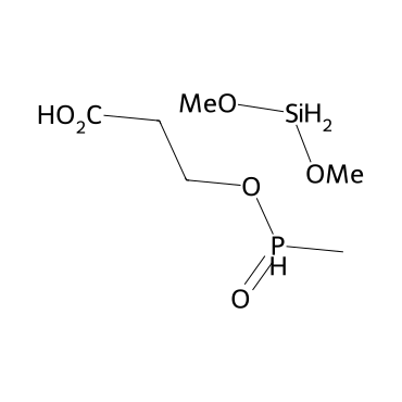 CO[SiH2]OC.C[PH](=O)OCCC(=O)O